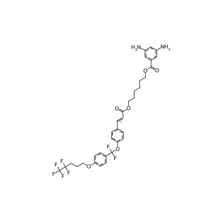 Nc1cc(N)cc(C(=O)OCCCCCCOC(=O)/C=C/c2ccc(OC(F)(F)c3ccc(OCCCC(F)(F)C(F)(F)F)cc3)cc2)c1